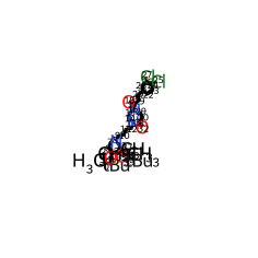 CC(C)(C)[Si](C)(C)OC1CCN(CCCCN2CCN(C(=O)C=Cc3ccc(Cl)c(Cl)c3)CCC2=O)CC1O[Si](C)(C)C(C)(C)C